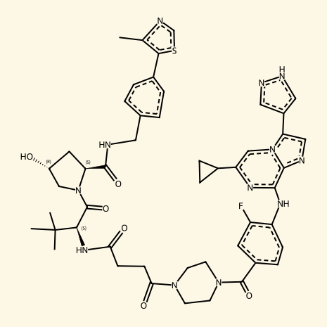 Cc1ncsc1-c1ccc(CNC(=O)[C@@H]2C[C@@H](O)CN2C(=O)[C@@H](NC(=O)CCC(=O)N2CCN(C(=O)c3ccc(Nc4nc(C5CC5)cn5c(-c6cn[nH]c6)cnc45)c(F)c3)CC2)C(C)(C)C)cc1